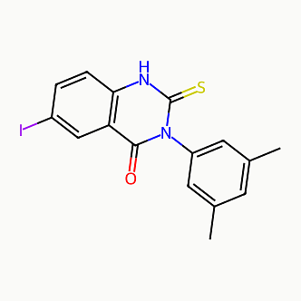 Cc1cc(C)cc(-n2c(=S)[nH]c3ccc(I)cc3c2=O)c1